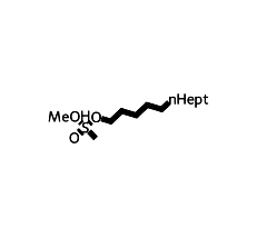 CCCCCCCCCCCCO[SH](C)(=O)OC